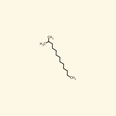 CCCCCCCCCCC[C](C)C